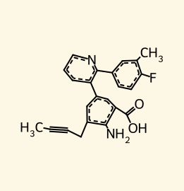 CC#CCc1cc(-c2cccnc2-c2ccc(F)c(C)c2)cc(C(=O)O)c1N